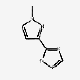 Cn1ccc(C2=NC=C[N]2)n1